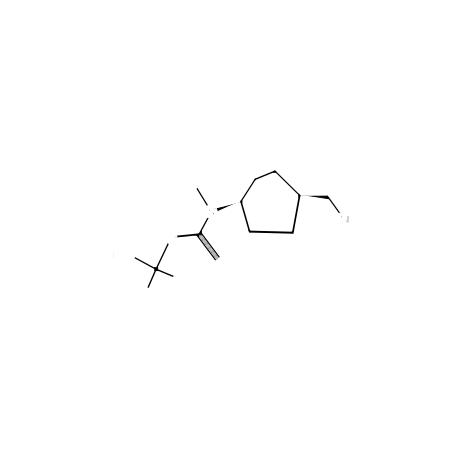 CN(C(=O)OC(C)(C)C)[C@H]1CC[C@@H](CN)CC1